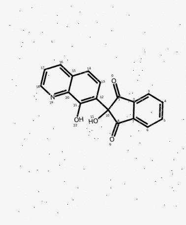 O=C1c2ccccc2C(=O)C1(O)c1ccc2cccnc2c1O